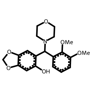 COc1cccc(C(c2cc3c(cc2O)OCO3)N2CCOCC2)c1OC